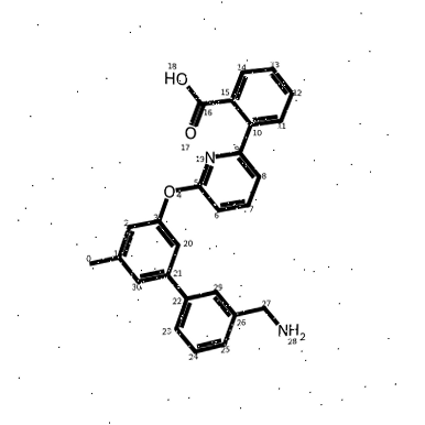 Cc1cc(Oc2cccc(-c3ccccc3C(=O)O)n2)cc(-c2cccc(CN)c2)c1